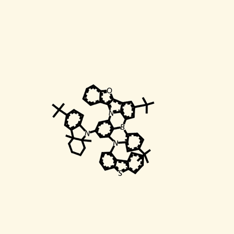 CC(C)(C)c1ccc2c(c1)N(c1cccc3sc4ccccc4c13)c1cc(N3c4ccc(C(C)(C)C)cc4C4(C)CCCCC34C)cc3c1B2c1cc(C(C)(C)C)cc2c4oc5ccccc5c4n-3c12